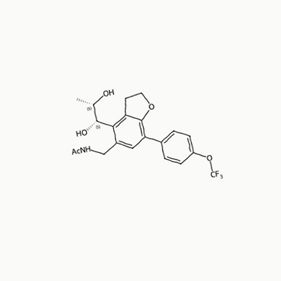 CC(=O)NCc1cc(-c2ccc(OC(F)(F)F)cc2)c2c(c1[C@H](O)[C@H](C)O)CCO2